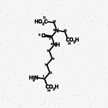 NC(CCCCNC(=O)N(CC(=O)O)CC(=O)O)C(=O)O